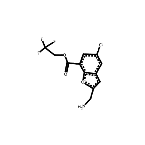 NCc1cc2cc(Cl)cc(C(=O)OCC(F)(F)F)c2o1